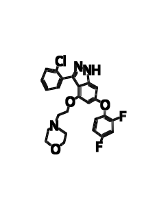 Fc1ccc(Oc2cc(OCCN3CCOCC3)c3c(-c4ccccc4Cl)n[nH]c3c2)c(F)c1